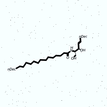 CCCCCCCCCC/C=C/[C@@H](O)[C@H](CO)NC(=O)CCCCCCCCCCCCCCCCCCCCCCC